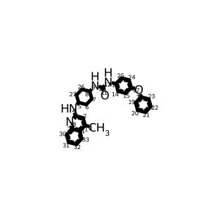 Cc1cc(NC2CCC(NC(=O)Nc3ccc(Oc4ccccc4)cc3)CC2)nc2ccccc12